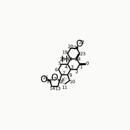 C=C1CC2C(CC[C@@]3(C)C2CC[C@@]32CCC(=O)O2)[C@H]2CCC(=O)C=C12